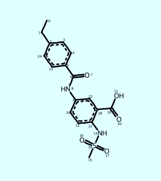 CCc1ccc(C(=O)Nc2ccc(NS(C)(=O)=O)c(C(=O)O)c2)cc1